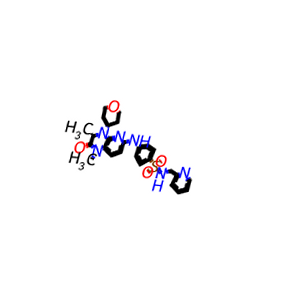 C[C@@H]1C(=O)N(C)c2ccc(Nc3ccc(S(=O)(=O)NCc4ccccn4)cc3)nc2N1C1CCOCC1